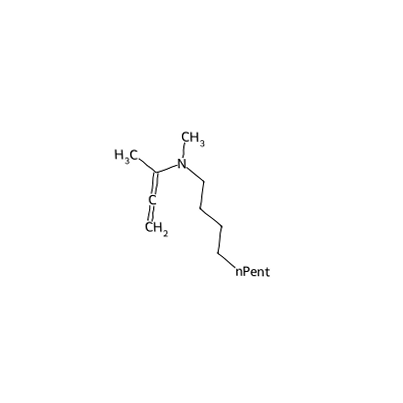 C=C=C(C)N(C)CCCCCCCCC